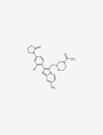 CC(=O)N1CCOC(Cc2c(-c3ccc(N4CCCC4=O)cc3Cl)nc3cc(C)ccn23)C1